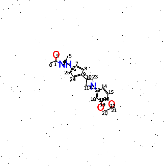 CC(=O)NC(C)c1ccc(C2CN(c3ccc4c(c3)OCCO4)C2)cc1